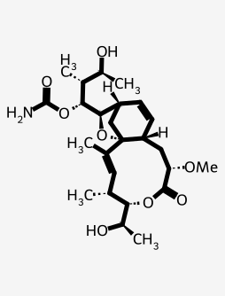 CO[C@H]1C[C@H]2C=C[C@@H]3C[C@]2(O[C@H]3[C@H](OC(N)=O)[C@H](C)[C@H](C)O)/C(C)=C/[C@@H](C)[C@@H]([C@@H](C)O)OC1=O